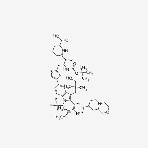 CO[C@@H](C)c1ncc(N2CCN3CCOCC3C2)cc1-c1c(CC(C)(C)CO)c2cc(-c3csc(CC(NC(=O)OC(C)(C)C)C(=O)N4CCCC(C(=O)O)N4)n3)ccc2n1CC(F)(F)F